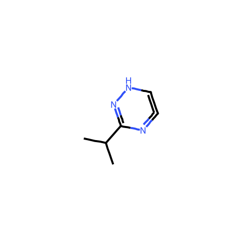 CC(C)C1=NNC=C=N1